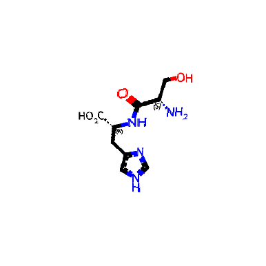 N[C@@H](CO)C(=O)N[C@H](Cc1c[nH]cn1)C(=O)O